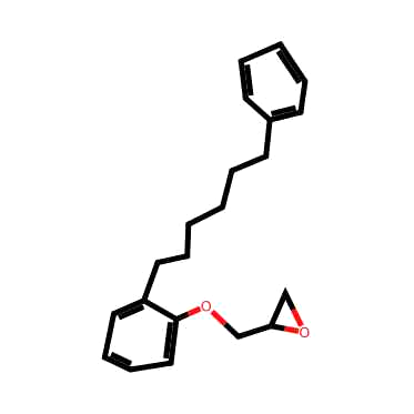 c1ccc(CCCCCCc2ccccc2OCC2CO2)cc1